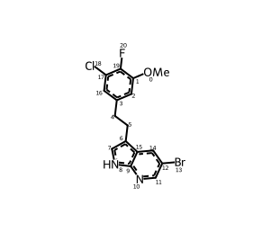 COc1cc(CCc2c[nH]c3ncc(Br)cc23)cc(Cl)c1F